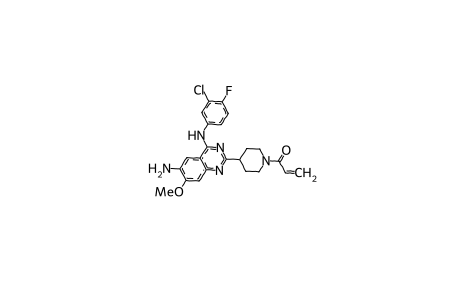 C=CC(=O)N1CCC(c2nc(Nc3ccc(F)c(Cl)c3)c3cc(N)c(OC)cc3n2)CC1